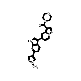 Cn1cc(-c2ccc3c(-c4ccn5ncc(C(=O)N6CCOCC6)c5c4)c[nH]c3n2)cn1